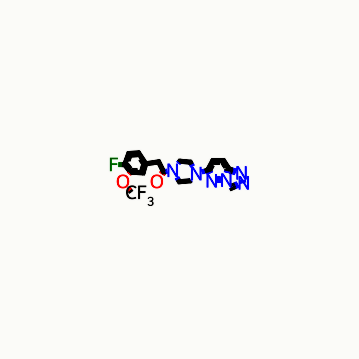 O=C(Cc1ccc(F)c(OC(F)(F)F)c1)N1CCN(c2ccc3nncn3n2)CC1